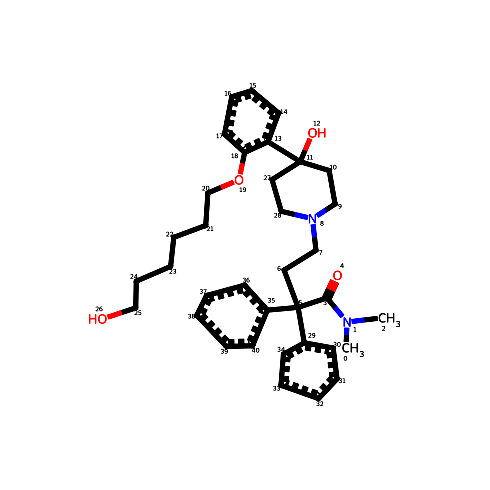 CN(C)C(=O)C(CCN1CCC(O)(c2ccccc2OCCCCCCO)CC1)(c1ccccc1)c1ccccc1